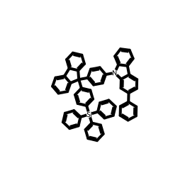 c1ccc(-c2ccc3c4ccccc4n(-c4ccc(C5(c6ccc([Si](c7ccccc7)(c7ccccc7)c7ccccc7)cc6)c6ccccc6-c6ccccc65)cc4)c3c2)cc1